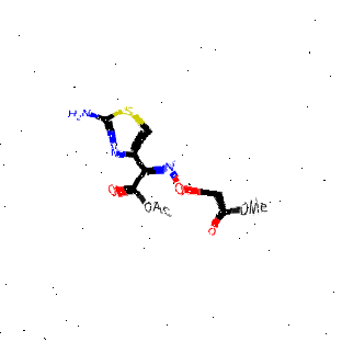 COC(=O)CON=C(C(=O)OC(C)=O)c1csc(N)n1